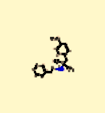 COc1ccc(CC(C)(C)NCCc2ccccc2)cc1